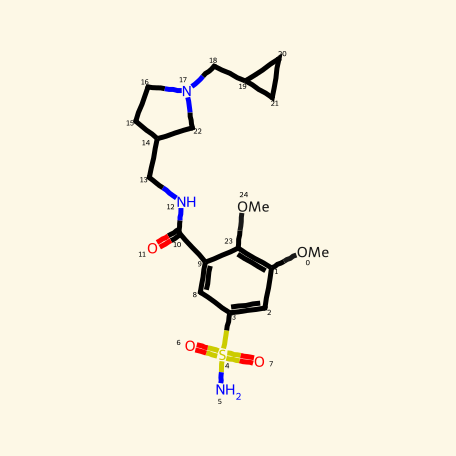 COc1cc(S(N)(=O)=O)cc(C(=O)NCC2CCN(CC3CC3)C2)c1OC